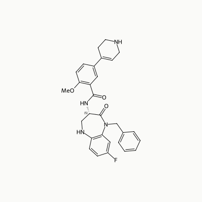 COc1ccc(C2=CCNCC2)cc1C(=O)N[C@H]1CNc2ccc(F)cc2N(Cc2ccccc2)C1=O